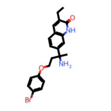 CCc1cc2ccc(C(C)(N)CCOc3ccc(Br)cc3)cc2[nH]c1=O